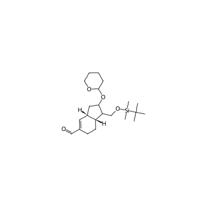 CC(C)(C)[Si](C)(C)OCC1C(OC2CCCCO2)C[C@H]2C=C(C=O)CC[C@@H]12